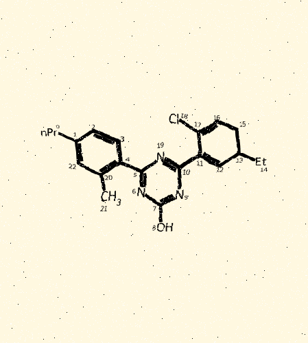 CCCc1ccc(-c2nc(O)nc(C3=CC(CC)CC=C3Cl)n2)c(C)c1